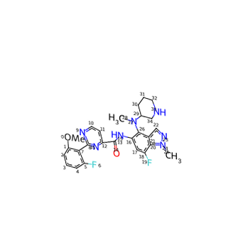 COc1cccc(F)c1-c1nccc(C(=O)Nc2cc(F)c3c(cnn3C)c2N(C)C2CCCNC2)n1